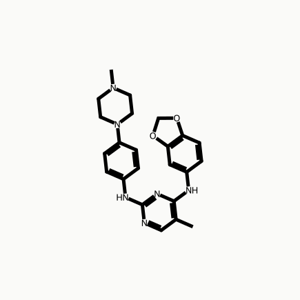 Cc1cnc(Nc2ccc(N3CCN(C)CC3)cc2)nc1Nc1ccc2c(c1)OCO2